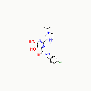 CC(C)N1CCN(C)C(c2nc(O)c(O)c(C(=O)NCc3ccc(F)cc3)n2)C1